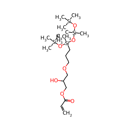 C=CC(=O)OCC(O)COCCC[Si](C)(O[Si](C)(C)C)O[Si](C)(C)O[Si](C)(C)C